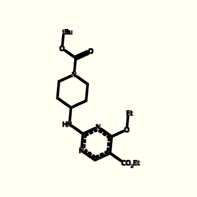 CCOC(=O)c1cnc(NC2CCN(C(=O)OC(C)(C)C)CC2)nc1OCC